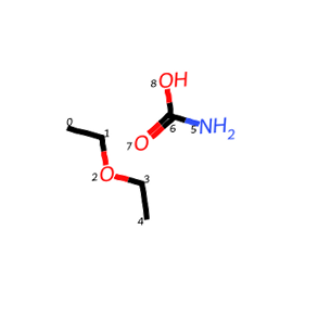 CCOCC.NC(=O)O